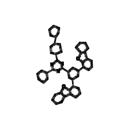 c1ccc(-c2ccc(-c3nc(-c4ccccc4)nc(-c4cc(-c5cccc6c5oc5ccccc56)cc(-c5cccc6c5oc5ccccc56)c4)n3)cc2)cc1